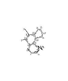 Cc1c(C)c2nccnc2c2ccccc12